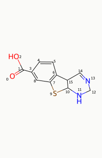 O=C(O)c1ccc2c(c1)SC1NCN=CC21